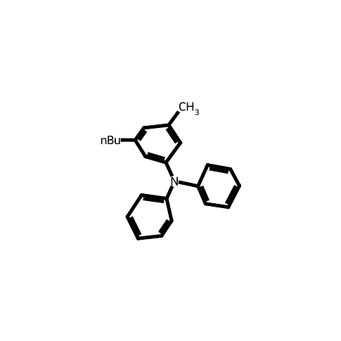 CCCCc1cc(C)cc(N(c2ccccc2)c2ccccc2)c1